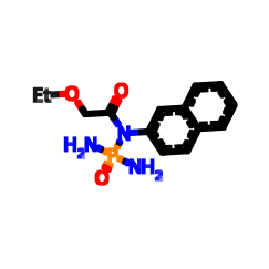 CCOCC(=O)N(c1ccc2ccccc2c1)P(N)(N)=O